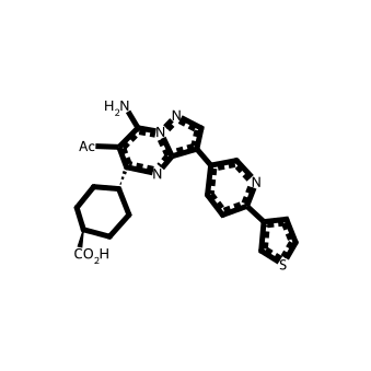 CC(=O)c1c(N)n2ncc(-c3ccc(-c4ccsc4)nc3)c2nc1[C@H]1CC[C@H](C(=O)O)CC1